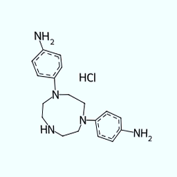 Cl.Nc1ccc(N2CCNCCN(c3ccc(N)cc3)CC2)cc1